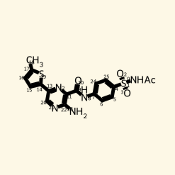 CC(=O)NS(=O)(=O)c1ccc(NC(=O)c2nc(-c3ccc(C)s3)cnc2N)cc1